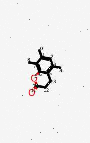 Cc1cc(C)c2c(c1C)OC(=O)CC2